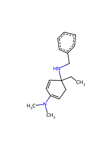 CCC1(NCc2ccccc2)C=CC(N(C)C)=CC1